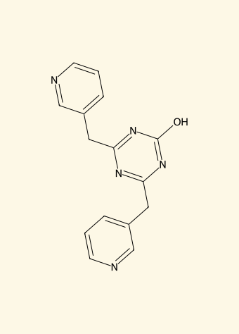 Oc1nc(Cc2cccnc2)nc(Cc2cccnc2)n1